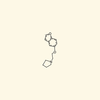 [c]1cc2cc(OCCN3CCCC3)ccc2o1